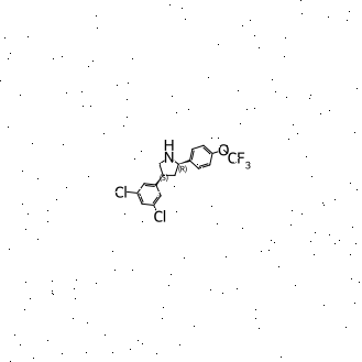 FC(F)(F)Oc1ccc([C@H]2C[C@@H](c3cc(Cl)cc(Cl)c3)CN2)cc1